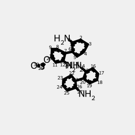 Nc1ccccc1-c1ccccc1N.Nc1ccccc1-c1ccccc1N.O=S=O